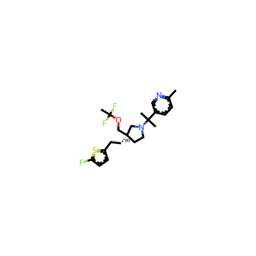 Cc1ccc(C(C)(C)N2CC[C@@](CCc3ccc(F)s3)(COC(C)(F)F)C2)cn1